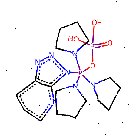 O=P(O)(O)OP(N1CCCC1)(N1CCCC1)(N1CCCC1)n1nnc2cccnc21